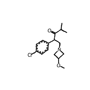 COC1CN(CC(C(=O)C(C)C)c2ccc(Cl)cc2)C1